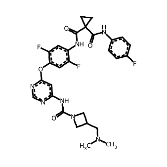 CN(C)CC1CN(C(=O)Nc2cc(Oc3cc(F)c(NC(=O)C4(C(=O)Nc5ccc(F)cc5)CC4)cc3F)ncn2)C1